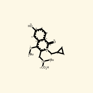 CCCCOc1c(CN(C(=O)O)C(C)(C)C)n(CC2CC2)c(=O)c2ccc(O)cc12